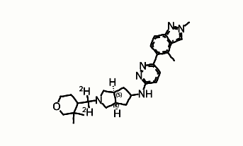 [2H]C([2H])(C1CCOCC1(C)C)N1C[C@H]2CC(Nc3ccc(-c4ccc5nn(C)cc5c4C)nn3)C[C@H]2C1